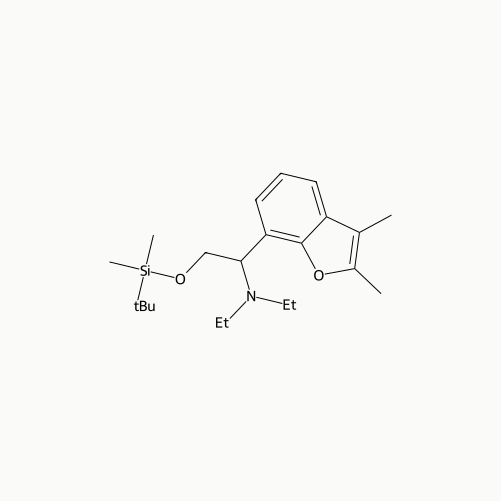 CCN(CC)C(CO[Si](C)(C)C(C)(C)C)c1cccc2c(C)c(C)oc12